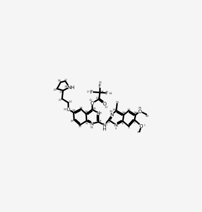 COc1cc2nc(Nc3nc(OC(=O)C(F)(F)F)c4cc(OCCC5CCCN5)ccc4n3)nc(C)c2cc1OC